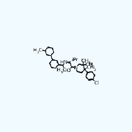 CC1CCCC(C2CCCC(C(C)N[C@H](C(C)C)C(O)N3CCC(C)(C4CC=C(Cl)CC4)C(C)(C)C3)C2)C1